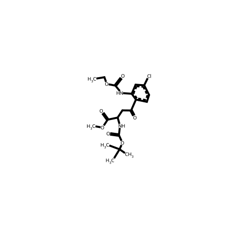 CCOC(=O)Nc1cc(Cl)ccc1C(=O)CC(NC(=O)OC(C)(C)C)C(=O)OC